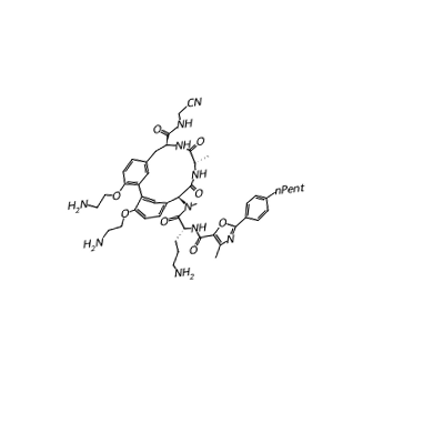 CCCCCc1ccc(-c2nc(C)c(C(=O)N[C@H](CCCN)C(=O)N(C)[C@@H]3C(=O)N[C@@H](C)C(=O)N[C@H](C(=O)NCC#N)Cc4ccc(OCCN)c(c4)-c4cc3ccc4OCCN)o2)cc1